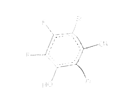 N#Cc1c(Br)c(O)c(F)c(F)c1Br